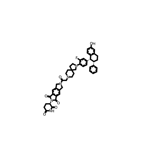 O=C1CC[C@@H](N2C(=O)c3cc4c(cc3C2=O)CN(C(=O)CN2CCC3(CC2)CCN(c2ccc([C@@H]5c6ccc(O)cc6CC[C@@H]5c5ccccc5)cc2F)C3)C4)C(=O)N1